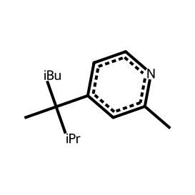 CCC(C)C(C)(c1ccnc(C)c1)C(C)C